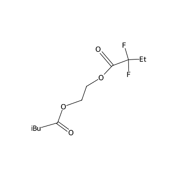 CCC(C)C(=O)OCCOC(=O)C(F)(F)CC